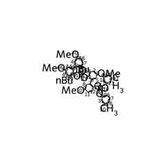 CCCCc1cc(OC)cc(-c2cc(OC)ccc2OP(Oc2cccc(C)c2)Oc2cccc(C)c2)c1Op1oc2ccc(OC)cc2c2cc(OC)cc(CCCC)c2o1